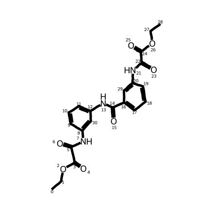 CCOC(=O)C(=O)Nc1cccc(NC(=O)c2cccc(NC(=O)C(=O)OCC)c2)c1